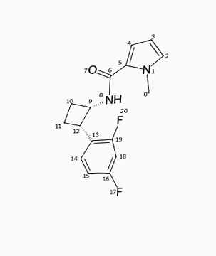 Cn1cccc1C(=O)N[C@H]1CC[C@H]1c1ccc(F)cc1F